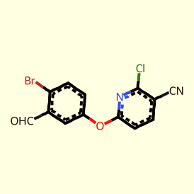 N#Cc1ccc(Oc2ccc(Br)c(C=O)c2)nc1Cl